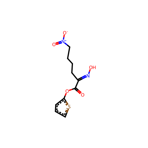 O=C(Oc1cccs1)/C(CCCC[N+](=O)[O-])=N/O